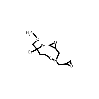 CCC(CC)(CCCN(CC1CO1)CC1CO1)CO[SiH3]